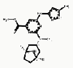 COC(=O)c1cc(Nc2cc(C)[nH]n2)nc(N(C)[C@@H]2C[C@H]3CC[C@@H](C2)N3)n1